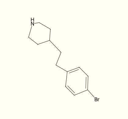 Brc1ccc(CCC2CCNCC2)cc1